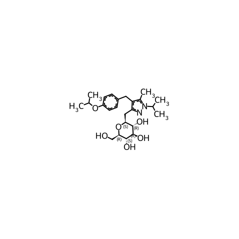 Cc1c(Cc2ccc(OC(C)C)cc2)c(C[C@@H]2O[C@H](CO)[C@@H](O)[C@H](O)[C@H]2O)nn1C(C)C